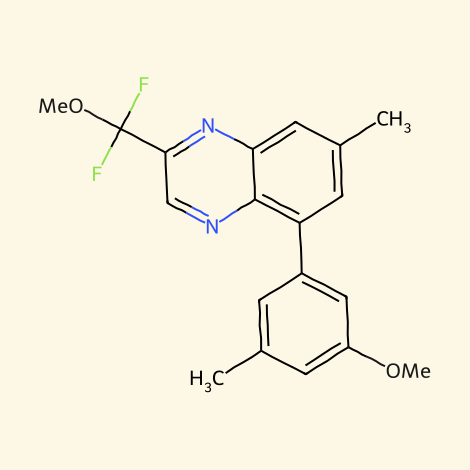 COc1cc(C)cc(-c2cc(C)cc3nc(C(F)(F)OC)cnc23)c1